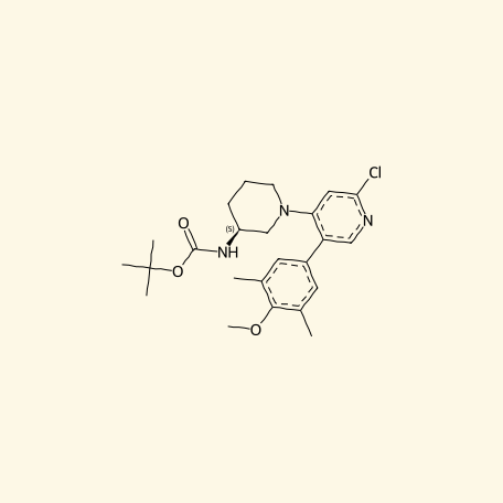 COc1c(C)cc(-c2cnc(Cl)cc2N2CCC[C@H](NC(=O)OC(C)(C)C)C2)cc1C